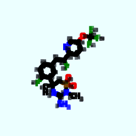 CN1C(N)=NC(C)(c2cc(C=C(F)c3ccc(OC(F)(F)F)cn3)ccc2F)CS1(=O)=O